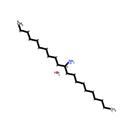 Br.CCCCCCCCCCC(N)CCCCCCCCCC